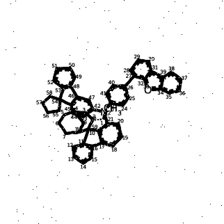 CC[C@H]1CC2CCCC(C2)C12c1ccccc1-c1cccc(N(c3ccc(-c4cccc5c4oc4ccccc45)cc3)c3ccc4c(c3)-c3ccccc3C43CCCC3)c12